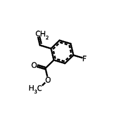 C=Cc1ccc(F)cc1C(=O)OC